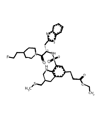 CCOC(=O)CCc1cc2c(c(S(=O)(=O)N[C@@H](Cc3nc4ccccc4s3)C(=O)N3CCC(CCF)CC3)c1)NCC(CSC)C2